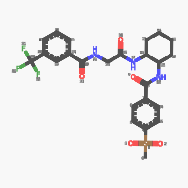 CS(=O)(=O)c1ccc(C(=O)NC2CCCCC2NC(=O)CNC(=O)c2cccc(C(F)(F)F)c2)cc1